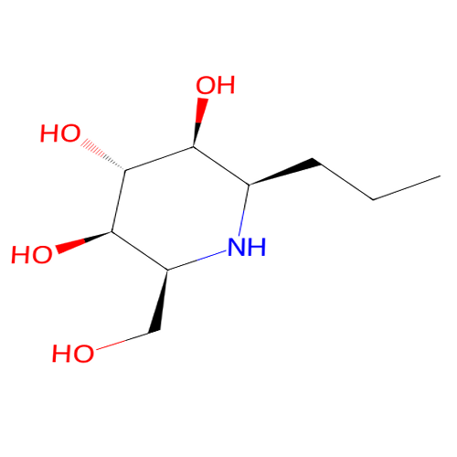 CCC[C@H]1N[C@@H](CO)[C@@H](O)[C@H](O)[C@H]1O